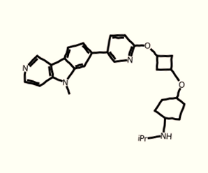 CC(C)NC1CCC(OC2CC(Oc3ccc(-c4ccc5c6cnccc6n(C)c5c4)cn3)C2)CC1